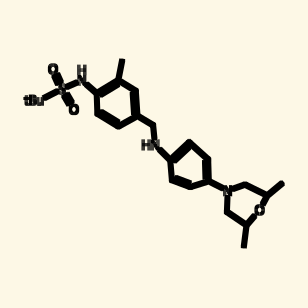 Cc1cc(CNc2ccc(N3CC(C)OC(C)C3)cc2)ccc1NS(=O)(=O)C(C)(C)C